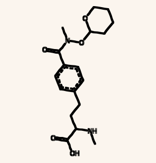 CNC(CCc1ccc(C(=O)N(C)OC2CCCCO2)cc1)C(=O)O